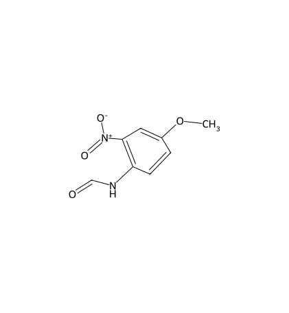 COc1ccc(NC=O)c([N+](=O)[O-])c1